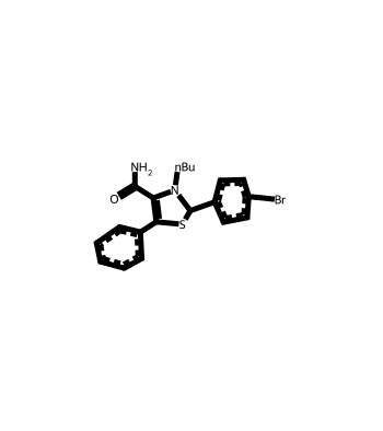 CCCCN1C(C(N)=O)=C(c2ccccc2)SC1c1ccc(Br)cc1